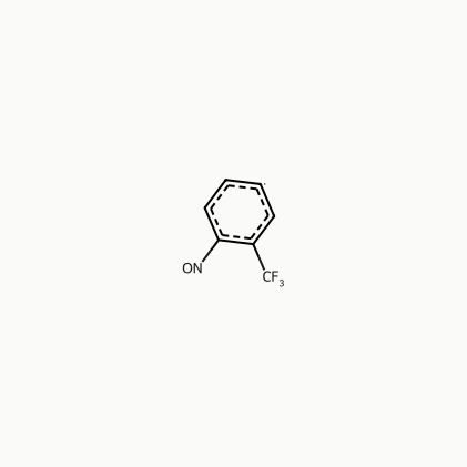 O=Nc1cc[c]cc1C(F)(F)F